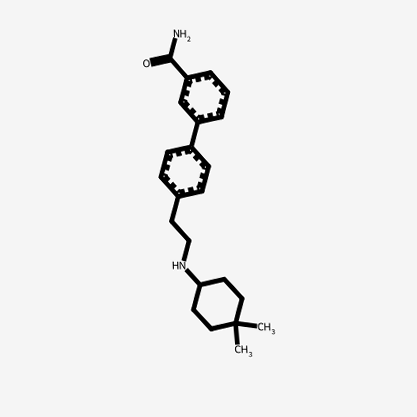 CC1(C)CCC(NCCc2ccc(-c3cccc(C(N)=O)c3)cc2)CC1